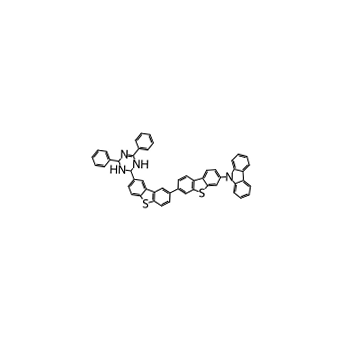 c1ccc(C2=NC(c3ccccc3)NC(c3ccc4sc5ccc(-c6ccc7c(c6)sc6cc(-n8c9ccccc9c9ccccc98)ccc67)cc5c4c3)N2)cc1